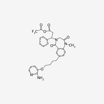 CN1C(=O)CN(C(CC(=O)OC(=O)C(F)(F)F)c2ccccc2)C(=O)c2cc(CCCCOc3cccnc3N)ccc21